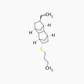 C=C[C@@H]1C[C@H]2C[C@@H]1C1C2[C@H]2C[C@@H]1C[C@@H]2SCCCC